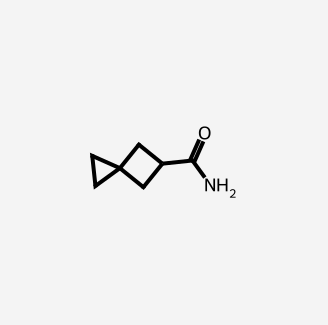 NC(=O)C1CC2(CC2)C1